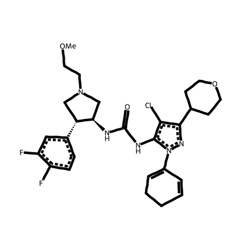 COCCN1C[C@@H](NC(=O)Nc2c(Cl)c(C3CCOCC3)nn2C2=CCCC=C2)[C@H](c2ccc(F)c(F)c2)C1